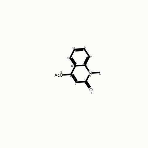 CC(=O)Oc1cc(=O)n(C)c2ccccc12